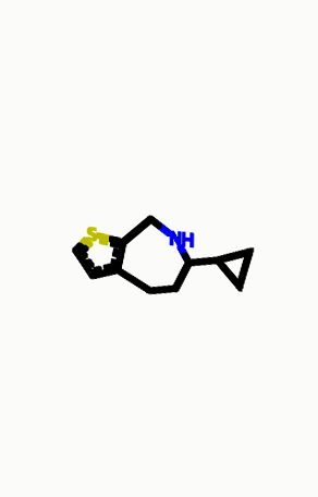 c1cc2c(s1)CNC(C1CC1)CC2